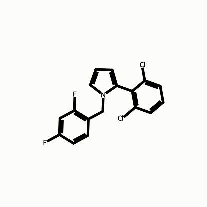 Fc1ccc(Cn2cccc2-c2c(Cl)cccc2Cl)c(F)c1